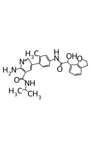 Cc1cc(NC(=O)C(O)c2cccc3c2OCC3)ccc1-c1cnc(N)c(C(=O)NC(C)C)c1